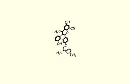 CC1=C(c2cccc(O)c2)C(c2ccc(OCC(C)N3CCC(C)C3)cc2)Oc2c(C#N)cc(O)cc21